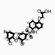 O=C(O)COc1cccc2c1CCCC2NS(=O)(=O)c1cnc(Oc2ccc(F)cc2Cl)c(Br)c1